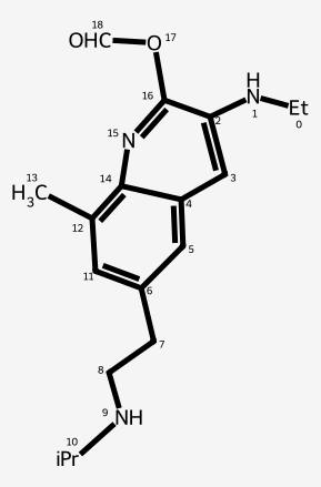 CCNc1cc2cc(CCNC(C)C)cc(C)c2nc1OC=O